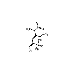 CCC(=CC(=NO)P(=O)(O)O)C(C)[N+](=O)[O-]